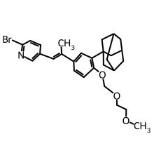 COCCOCOc1ccc(/C(C)=C/c2ccc(Br)nc2)cc1C12CC3CC(CC(C3)C1)C2